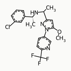 COc1cc(C(C)N[C@H](C)c2cccc(Cl)c2)nn1-c1ccc(C(F)(F)F)nc1